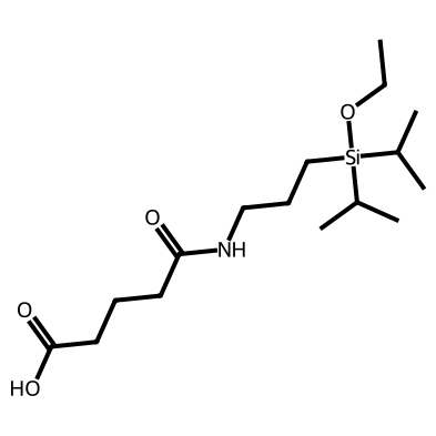 CCO[Si](CCCNC(=O)CCCC(=O)O)(C(C)C)C(C)C